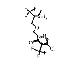 C[SiH2]C(COCn1ncc(Cl)c(C(F)(F)F)c1=O)C(F)(F)F